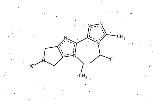 CCn1c(-c2nnc(C)n2C(F)F)nc2c1CN(O)C2